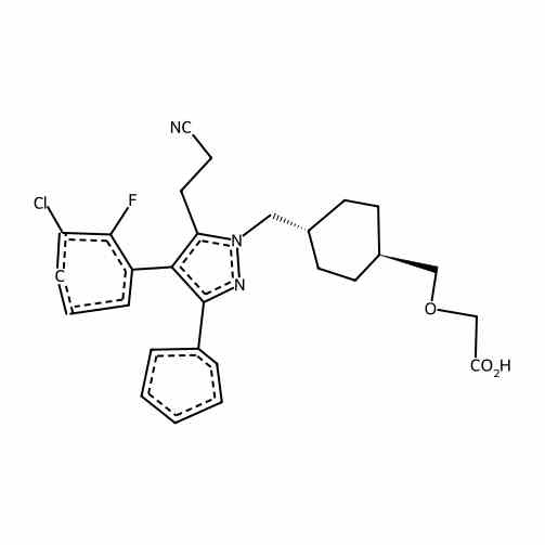 N#CCCc1c(-c2cccc(Cl)c2F)c(-c2ccccc2)nn1C[C@H]1CC[C@H](COCC(=O)O)CC1